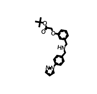 CC(C)(C)OC(=O)COc1cccc(CNCc2ccc(-n3cccn3)cc2)c1